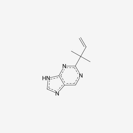 C=CC(C)(C)c1ncc2nc[nH]c2n1